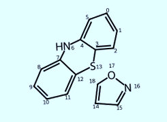 c1ccc2c(c1)Nc1ccccc1S2.c1cnoc1